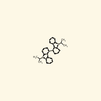 CC(C)n1c2ccccc2c2c(-c3cccc4c3c3ccccc3n4C(C)C)cccc21